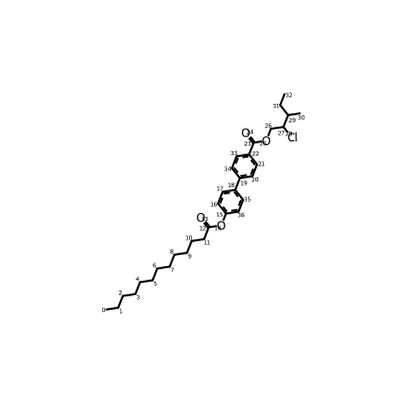 CCCCCCCCCCCCC(=O)Oc1ccc(-c2ccc(C(=O)OCC(Cl)C(C)CC)cc2)cc1